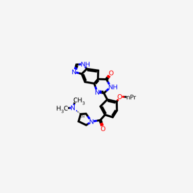 CCCOc1ccc(C(=O)N2CC[C@H](N(C)C)C2)cc1-c1nc2cc3nc[nH]c3cc2c(=O)[nH]1